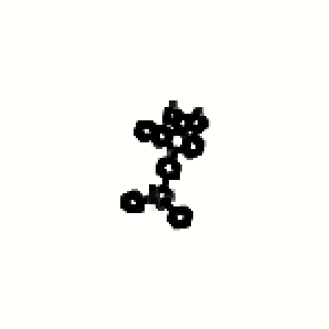 c1ccc(-c2nc(-c3ccccc3)nc(-c3ccc(N4c5ccccc5C5(c6cc7ccccc7cc64)c4ccsc4-c4sccc45)cc3)n2)cc1